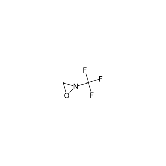 FC(F)(F)N1CO1